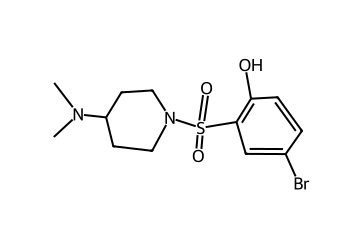 CN(C)C1CCN(S(=O)(=O)c2cc(Br)ccc2O)CC1